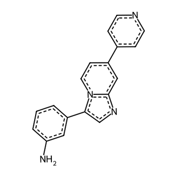 Nc1cccc(-c2cnc3cc(-c4ccncc4)ccn23)c1